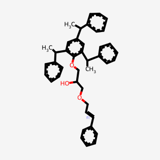 CC(c1ccccc1)c1cc(C(C)c2ccccc2)c(OCC(O)COC/C=C/c2ccccc2)c(C(C)c2ccccc2)c1